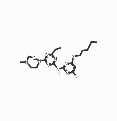 CCCCCSc1cc(F)nc(Nc2nc(CC)nc(N3CCN(C)CC3)n2)n1